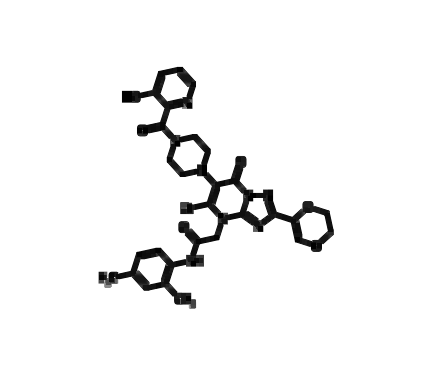 CCc1c(N2CCN(C(=O)c3ncccc3O)CC2)c(=O)n2nc(C3=COCCO3)nc2n1CC(=O)Nc1ccc(C(F)(F)F)cc1C